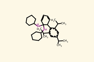 CC(C)c1cc(C(C)C)c(C2C=CC=CC2(PC2CCCCC2)PC2CCCCC2)c(C(C)C)c1